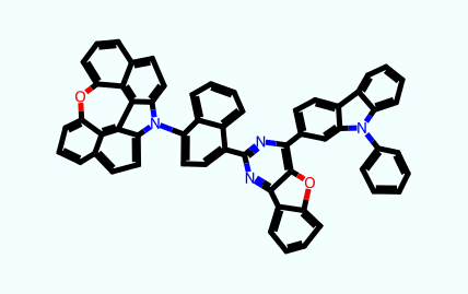 c1ccc(-n2c3ccccc3c3ccc(-c4nc(-c5ccc(-n6c7ccc8cccc9oc%10cccc%11ccc6c(c%11%10)c7c89)c6ccccc56)nc5c4oc4ccccc45)cc32)cc1